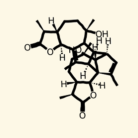 CC1=C[C@@H]2[C@@H]3C4C(=C(C)[C@@H]3[C@@]13[C@@H]2[C@@](C)(O)CC[C@H]1[C@H](C)C(=O)O[C@@H]13)[C@H]1OC(=O)[C@@H](C)[C@@H]1CC[C@]4(C)O